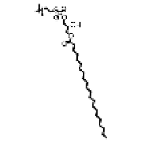 CCCCCCCCCCCCCCCCCCCCCC(=O)OC[C@@H](O)COP(=O)([O-])OCC[N+](C)(C)C